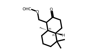 CC1(C)CCC[C@@]2(C)C(COC=O)C(=O)CC[C@H]12